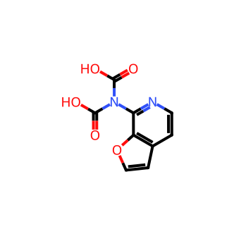 O=C(O)N(C(=O)O)c1nccc2ccoc12